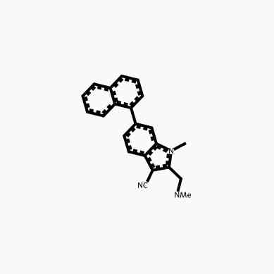 CNCc1c(C#N)c2ccc(-c3cccc4ccccc34)cc2n1C